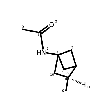 CC(=O)NC12CC(C1)[C@@H](C)C2